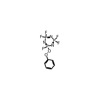 FP1(F)=NP(F)(F)=NP(F)(OOc2ccccc2)=N1